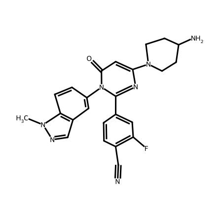 Cn1ncc2cc(-n3c(-c4ccc(C#N)c(F)c4)nc(N4CCC(N)CC4)cc3=O)ccc21